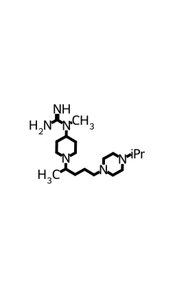 CC(C)N1CCN(CCCC(C)N2CCC(N(C)C(=N)N)CC2)CC1